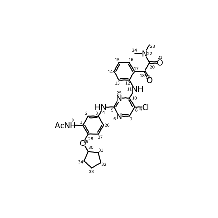 CC(=O)Nc1cc(Nc2ncc(Cl)c(Nc3ccccc3C(=O)C(=O)N(C)C)n2)ccc1OC1CCCC1